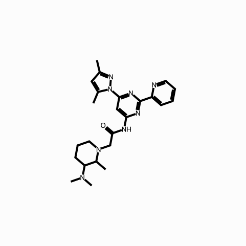 Cc1cc(C)n(-c2cc(NC(=O)CN3CCCC(N(C)C)C3C)nc(-c3ccccn3)n2)n1